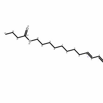 C=C/C=C/CCCCCCCCOC(=O)CCC